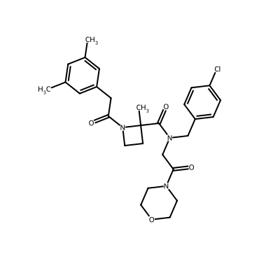 Cc1cc(C)cc(CC(=O)N2CCC2(C)C(=O)N(CC(=O)N2CCOCC2)Cc2ccc(Cl)cc2)c1